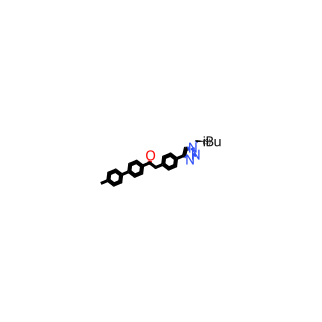 CC[C@H](C)Cn1cc(-c2ccc(CC(=O)c3ccc(-c4ccc(C)cc4)cc3)cc2)nn1